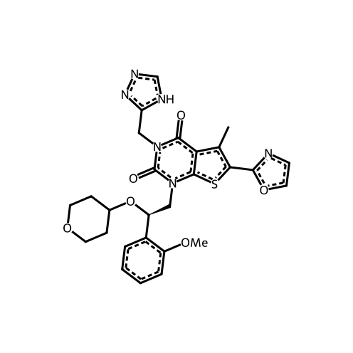 COc1ccccc1[C@H](Cn1c(=O)n(Cc2nnc[nH]2)c(=O)c2c(C)c(-c3ncco3)sc21)OC1CCOCC1